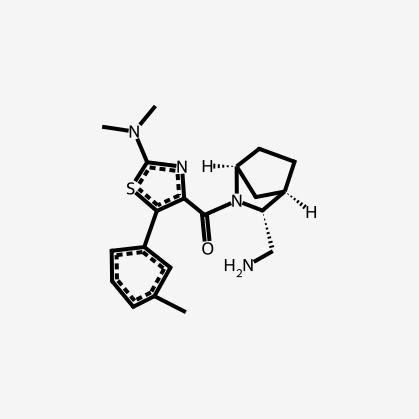 Cc1cccc(-c2sc(N(C)C)nc2C(=O)N2[C@H]3CC[C@H](C3)[C@@H]2CN)c1